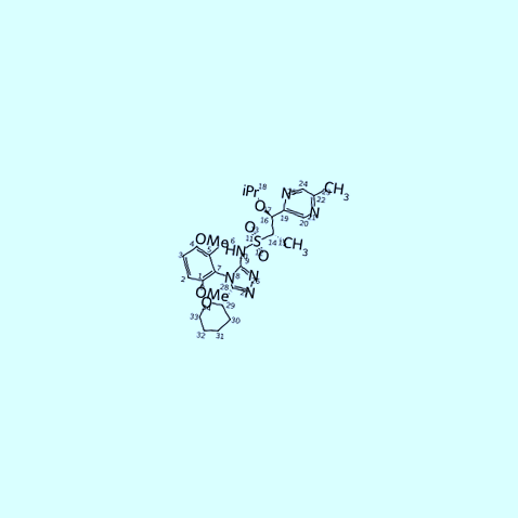 COc1cccc(OC)c1-n1c(NS(=O)(=O)[C@@H](C)[C@@H](OC(C)C)c2cnc(C)cn2)nnc1[C@@H]1CCCCO1